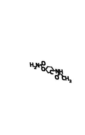 C=CC(=O)NC1CCC(OC(N)=O)CC1